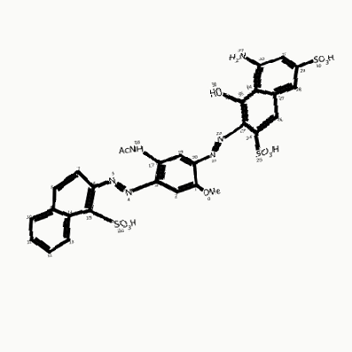 COc1cc(N=Nc2ccc3ccccc3c2S(=O)(=O)O)c(NC(C)=O)cc1N=Nc1c(S(=O)(=O)O)cc2cc(S(=O)(=O)O)cc(N)c2c1O